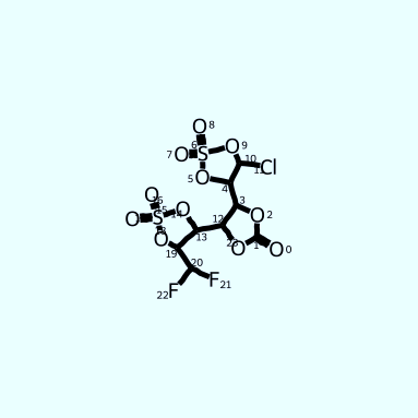 O=C1OC(C2OS(=O)(=O)OC2Cl)C(C2OS(=O)(=O)OC2C(F)F)O1